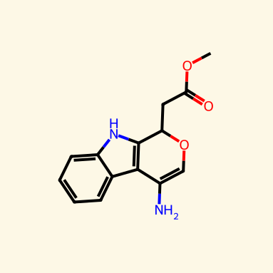 COC(=O)CC1OC=C(N)c2c1[nH]c1ccccc21